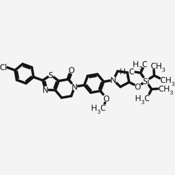 COc1cc(N2CCc3nc(-c4ccc(Cl)cc4)sc3C2=O)ccc1N1CCC(O[Si](C(C)C)(C(C)C)C(C)C)C1